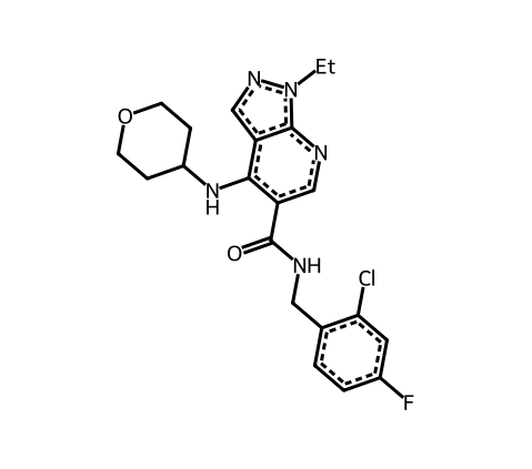 CCn1ncc2c(NC3CCOCC3)c(C(=O)NCc3ccc(F)cc3Cl)cnc21